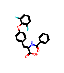 O=C(O)/C(=C/c1ccc(Oc2c(F)cccc2F)cc1)NC(=O)c1ccccc1